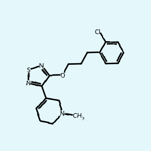 CN1CCC=C(c2nsnc2OCCCc2ccccc2Cl)C1